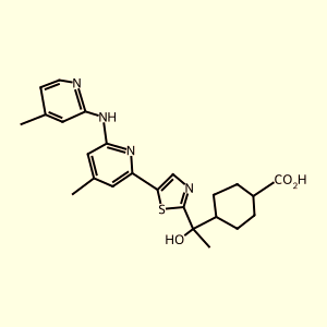 Cc1ccnc(Nc2cc(C)cc(-c3cnc(C(C)(O)C4CCC(C(=O)O)CC4)s3)n2)c1